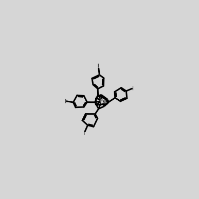 Ic1ccc([C]23[CH]4[C]5(c6ccc(I)cc6)[C]6(c7ccc(I)cc7)[C]2(c2ccc(I)cc2)[Fe]43562789[CH]3[CH]2[CH]7[CH]8[CH]39)cc1